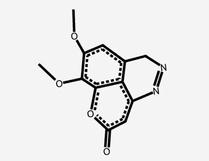 COc1cc2c3c(cc(=O)oc3c1OC)N=NC2